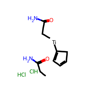 CCC(N)=O.CCC(N)=O.Cl.Cl.[Ti][C]1=CC=CC1